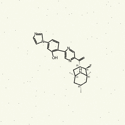 C=C(c1cnc(-c2ccc(-n3ccnc3)cc2O)cn1)[C@H]1C[C@]2(C)C[C@@H](C)C[C@@](C)(N2)[C@@H]1F